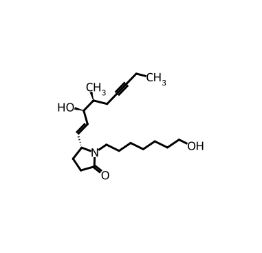 CCC#CC[C@H](C)[C@H](O)C=C[C@H]1CCC(=O)N1CCCCCCCO